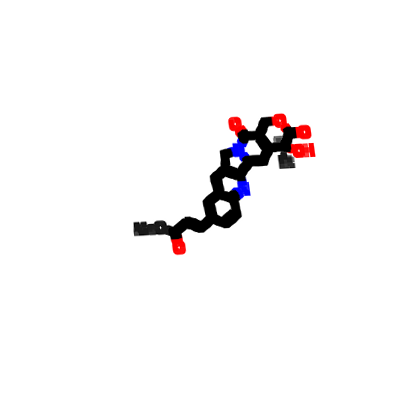 CC[C@@]1(O)C(=O)OCc2c1cc1n(c2=O)Cc2cc3cc(C=CC(=O)OC)ccc3nc2-1